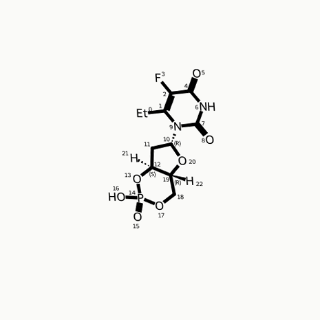 CCc1c(F)c(=O)[nH]c(=O)n1[C@H]1C[C@@H]2OP(=O)(O)OC[C@H]2O1